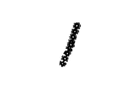 c1ccc(-c2ccc(-c3ccc(-c4cc5cc6cc(-c7ccc(-c8ccc(-c9ccccc9)cc8)cc7)sc6cc5s4)cc3)cc2)cc1